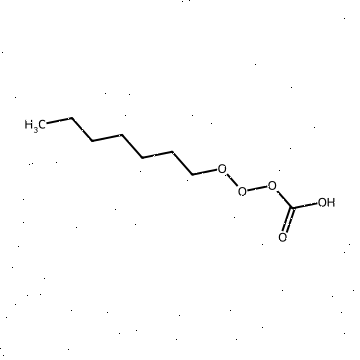 CCCCCCCOOOC(=O)O